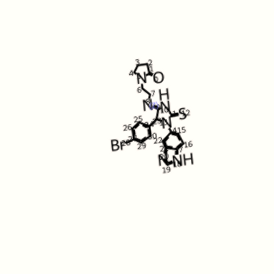 O=C1CCCN1CC/N=C1\NC(=S)N(c2ccc3[nH]cnc3c2)C1c1ccc(Br)cc1